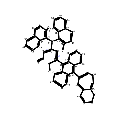 C=C/C=C(\C=C(/CC)c1c2ccccc2c(C2=CCC=C3CCC=CC3=C2)c2ccccc12)B(c1c(C)ccc2ccccc12)c1c(C)ccc2ccccc12